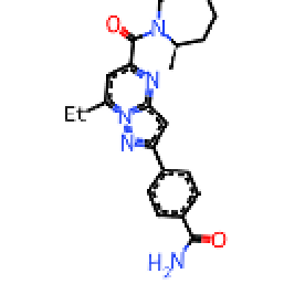 CCc1cc(C(=O)N2CCCCC[C@H]2C)nc2cc(-c3ccc(C(N)=O)cc3)nn12